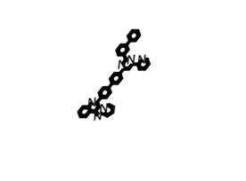 c1ccc(-c2cccc(-c3nc(-c4ccc(-c5ccc(-c6nc7ccccc7c7nc8ccccn8c67)cc5)cc4)cc(-c4ccccn4)n3)c2)cc1